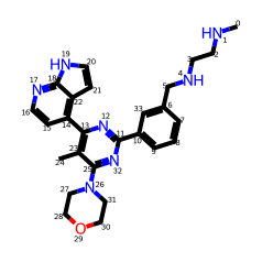 CNCCNCc1cccc(-c2nc(-c3ccnc4[nH]ccc34)c(C)c(N3CCOCC3)n2)c1